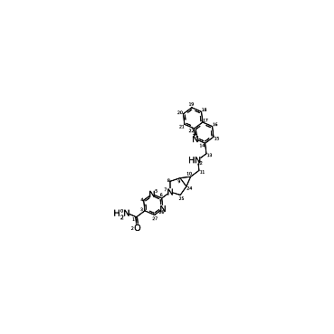 NC(=O)c1cnc(N2CC3C(CNCc4ccc5ccccc5n4)C3C2)nc1